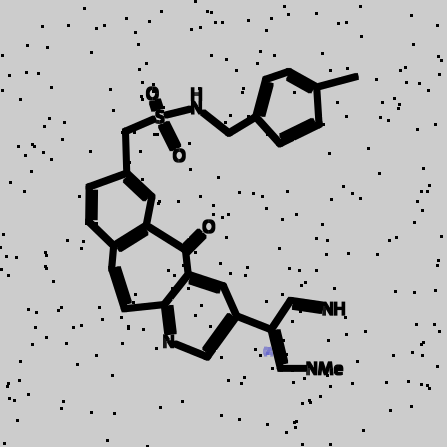 CN/C=C(\C=N)c1cnc2ccc3ccc(CS(=O)(=O)NCc4ccc(C)cc4)cc3c(=O)c2c1